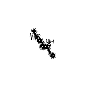 COc1cc2c(Oc3ccc(NC(=O)NCCC(C)(C)C)cc3)ccnc2cc1OCCCN1CCCCC1.Cl